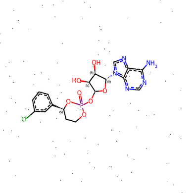 Nc1ncnc2c1ncn2[C@@H]1OC(OP2(=O)OCC[C@@H](c3cccc(Cl)c3)O2)[C@@H](O)[C@H]1O